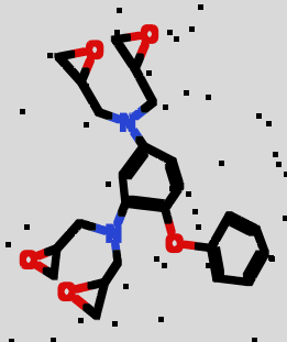 c1ccc(Oc2ccc(N(CC3CO3)CC3CO3)cc2N(CC2CO2)CC2CO2)cc1